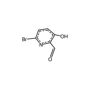 O=Cc1nc(Br)ccc1O